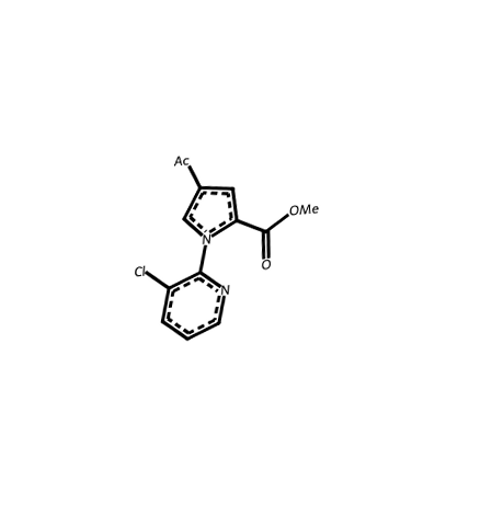 COC(=O)c1cc(C(C)=O)cn1-c1ncccc1Cl